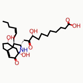 CCC/C=C\C[C@H]1[C@H](CC(=O)[C@H](O)CCCCCCCC(=O)O)N[C@]2(O)CC13C(=CC2=O)CC[C@@H]3O